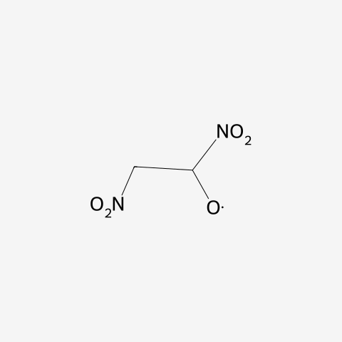 [O]C(C[N+](=O)[O-])[N+](=O)[O-]